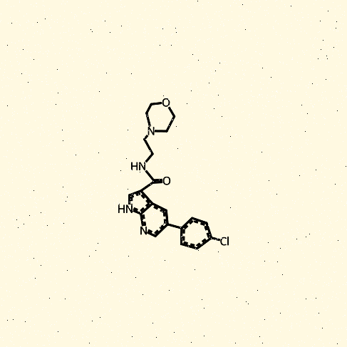 O=C(NCCN1CCOCC1)c1c[nH]c2ncc(-c3ccc(Cl)cc3)cc12